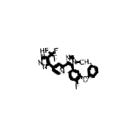 Cn1cnc(-c2cc(-c3nn[nH]c3C(F)(F)F)ccn2)c1-c1ccc(F)c(Oc2ccccc2)c1